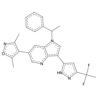 Cc1noc(C)c1-c1cnc2c(-c3cc(C(C)(F)F)n[nH]3)cn(C(C)c3ccccc3)c2c1